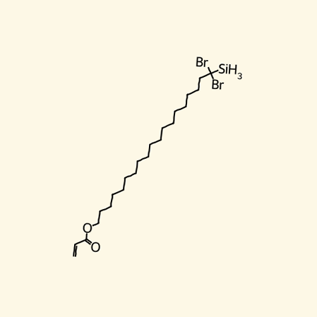 C=CC(=O)OCCCCCCCCCCCCCCCCCCC([SiH3])(Br)Br